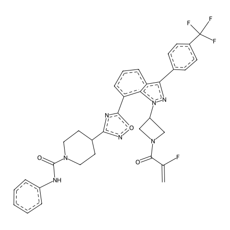 C=C(F)C(=O)N1CC(n2nc(-c3ccc(C(F)(F)F)cc3)c3cccc(-c4nc(C5CCN(C(=O)Nc6ccccc6)CC5)no4)c32)C1